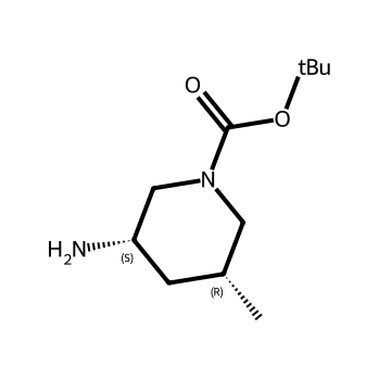 C[C@@H]1C[C@H](N)CN(C(=O)OC(C)(C)C)C1